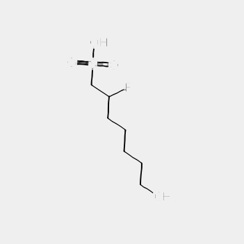 CCCCCCC(F)CS(=O)(=O)O